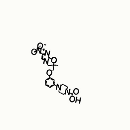 CC1(COc2cccc(N3CCN(C(=O)O)CC3)c2)Cn2cc([N+](=O)[O-])nc2O1